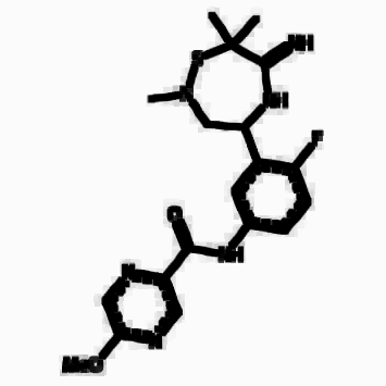 COc1cnc(C(=O)Nc2ccc(F)c(C3CN(C)SC(C)(C)C(=N)N3)c2)cn1